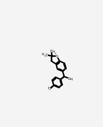 CC1(C)Cc2cc(C(O)c3ccc(Cl)cc3)ccc2O1